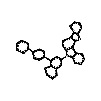 c1ccc(-c2ccc(-c3cc(-n4c5ccccc5c5c6sc7ccccc7c6ccc54)cc4ccccc34)cc2)cc1